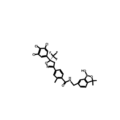 Cc1cc(C2=NO[C@](c3cc(Cl)c(Cl)c(Cl)c3)(C(F)(F)F)C2)ccc1C(=O)NCc1ccc2c(c1)B(O)OC2(C)C